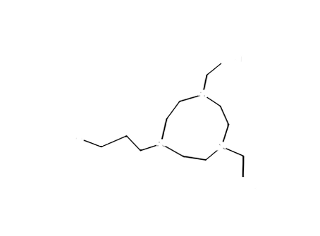 O=C(O)CN1CCN(CCCO)CCN(CC(=O)O)CC1